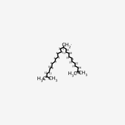 [CH2]C(CCCCCCCCCCCC(C)C)CCCCCCCCCC(C)C